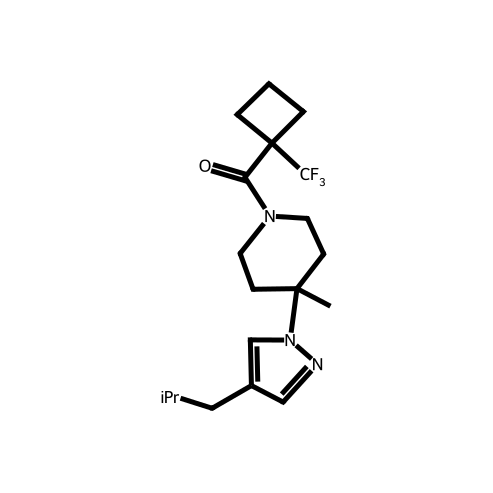 CC(C)Cc1cnn(C2(C)CCN(C(=O)C3(C(F)(F)F)CCC3)CC2)c1